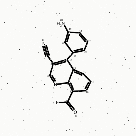 N#Cc1cnc2c(C(=O)F)cccc2c1-c1cccc(N)c1